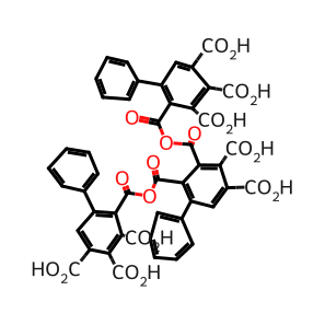 O=C(O)c1cc(-c2ccccc2)c(C(=O)OC(=O)c2c(-c3ccccc3)cc(C(=O)O)c(C(=O)O)c2C(=O)OC(=O)c2c(-c3ccccc3)cc(C(=O)O)c(C(=O)O)c2C(=O)O)c(C(=O)O)c1C(=O)O